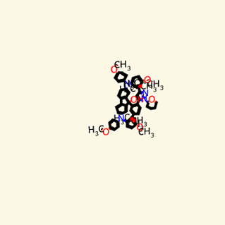 COc1ccc(N(c2ccc(OC)cc2)c2ccc3c(c2)C(O)(c2cc(C(C)(C)C)ccc2-c2cc(C(C)(C)C)nn2C2CCCCO2)c2cc(N(c4ccc(OC)cc4)c4ccc(OC)cc4)ccc2-3)cc1